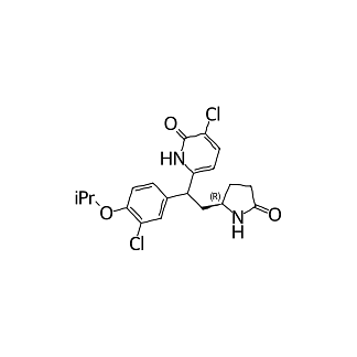 CC(C)Oc1ccc(C(C[C@H]2CCC(=O)N2)c2ccc(Cl)c(=O)[nH]2)cc1Cl